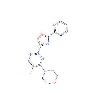 Fc1cnc(-c2coc(-c3ccccn3)n2)nc1N1CCOCC1